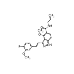 C=CCNC(=O)c1ccc2[nH]nc(/C=C/c3ccc(F)c(OC)c3)c2c1OC